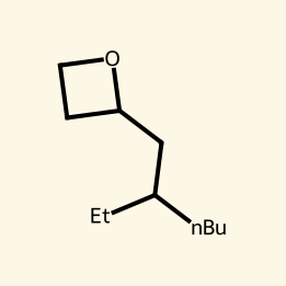 CCCCC(CC)CC1CCO1